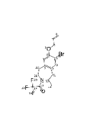 C=CCOc1cc2c(cc1Br)CC(C)N(C(=O)C(F)(F)F)CC2